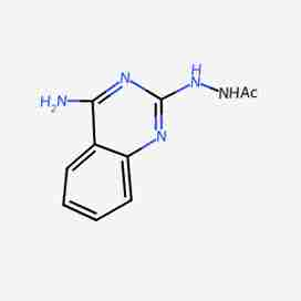 CC(=O)NNc1nc(N)c2ccccc2n1